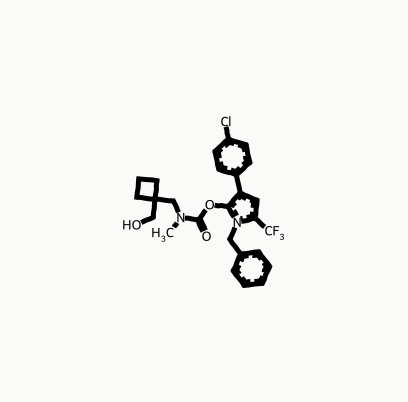 CN(CC1(CO)CCC1)C(=O)Oc1c(-c2ccc(Cl)cc2)cc(C(F)(F)F)n1Cc1ccccc1